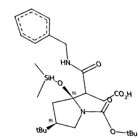 C[SiH](C)O[C@]1(C(CC(=O)O)C(=O)NCc2ccccc2)C[C@H](C(C)(C)C)CN1C(=O)OC(C)(C)C